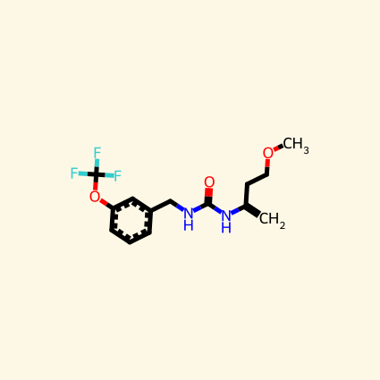 C=C(CCOC)NC(=O)NCc1cccc(OC(F)(F)F)c1